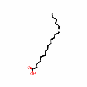 CCCCC=C=CC/C=C/C/C=C/C/C=C/CCCC(=O)O